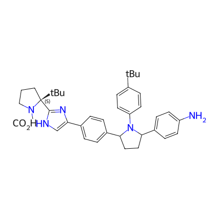 CC(C)(C)c1ccc(N2C(c3ccc(N)cc3)CCC2c2ccc(-c3c[nH]c([C@@]4(C(C)(C)C)CCCN4C(=O)O)n3)cc2)cc1